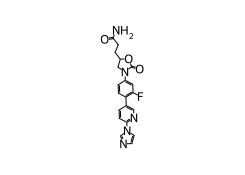 NC(=O)CCC1CN(c2ccc(-c3ccc(-n4ccnc4)nc3)c(F)c2)C(=O)O1